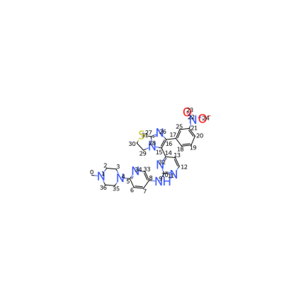 CN1CCN(c2ccc(Nc3nccc(-c4c(-c5cccc([N+](=O)[O-])c5)nc5n4CCS5)n3)cn2)CC1